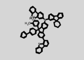 Cc1cccc(C2(c3ccc(-c4ccccc4)cc3)c3ccc(-c4cccc5c4sc4ccccc45)cc3-c3ccc(N(c4ccc(-c5ccccc5C)c(C)c4)c4ccc5c(c4)C4(CCCCC4)c4ccccc4-5)cc32)c1